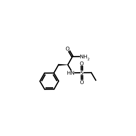 CCS(=O)(=O)N[C@@H](Cc1ccccc1)C(N)=O